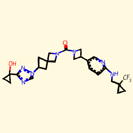 O=C(N1CC(c2ccc(NCC3(C(F)(F)F)CC3)nc2)C1)N1CC2(CC(n3cnc(C4(O)CC4)n3)C2)C1